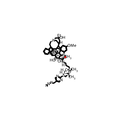 CC[C@]1(O)C[C@@H]2C[N@@](CCc3c([nH]c4ccccc34)[C@H](C(=O)OC)C2c2cc(OC)cc3c2[C@@]24CCN5CC=C[C@@](CC)([C@@H](O)[C@](O)(C(=O)NCCC[Si](C)(C)O[Si](C)(C)CSc6ncc(CN=[N+]=[N-])cn6)[C@@H]2N3C)[C@H]54)C1